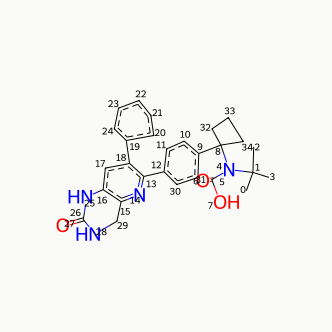 CC(C)(C)N(C(=O)O)C1(c2ccc(-c3nc4c(cc3-c3ccccc3)NC(=O)NC4)cc2)CCC1